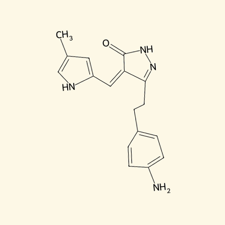 Cc1c[nH]c(C=C2C(=O)NN=C2CCc2ccc(N)cc2)c1